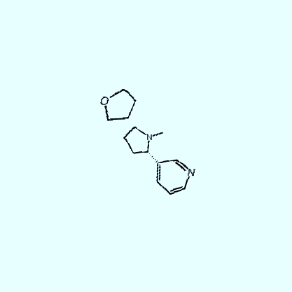 C1CCOC1.CN1CCC[C@H]1c1cccnc1